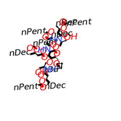 CCCCCCCCCCC[C@H](CC(=O)N[C@@H](CO)CO[C@H]1O[C@H](CO[Si](C)(C)C(C)(C)C)[C@@H](OC[C@H](CO)NC(=O)C[C@@H](CCCCCCCCCCC)OC(=O)CCCCC)[C@H](OC(=O)C[C@@H](CCCCCCCCCCC)OC(=O)CCCCC)[C@@H]1NC(=O)C[C@@H](CCCCCCCCCCC)OC(=O)CCCCC)OC(=O)CCCCC